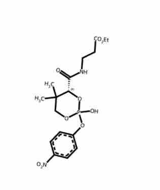 CCOC(=O)CCNC(=O)[C@@H]1O[P](O)(Oc2ccc([N+](=O)[O-])cc2)OCC1(C)C